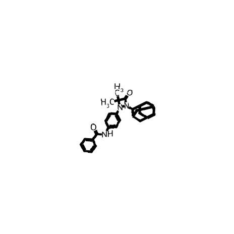 CC1(C)C(=O)N(C2C3CC4CC(C3)CC2C4)N1c1ccc(NC(=O)c2ccccc2)cc1